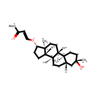 COC(=O)/C=C/O[C@H]1CC[C@H]2[C@@H]3CC[C@H]4C[C@@](C)(O)CC[C@]4(C)[C@H]3CC[C@]12C